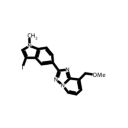 COCc1cccn2nc(-c3ccc4c(c3)c(I)cn4C)nc12